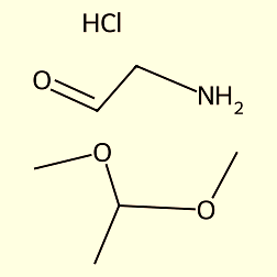 COC(C)OC.Cl.NCC=O